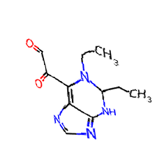 CCC1NC2=NC=NC2=C(C(=O)C=O)N1CC